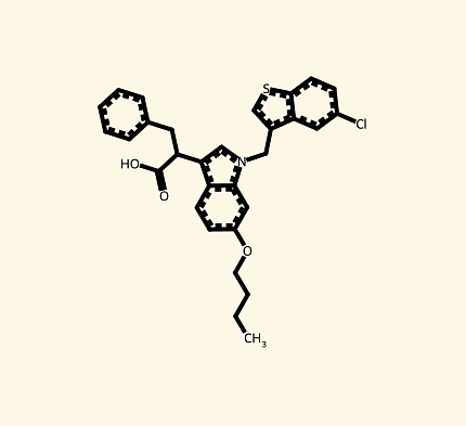 CCCCOc1ccc2c(C(Cc3ccccc3)C(=O)O)cn(Cc3csc4ccc(Cl)cc34)c2c1